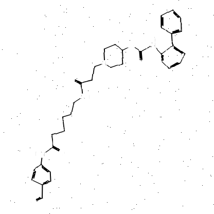 O=Cc1ccc(NC(=O)CCCCCNC(=O)CCN2CCC(OC(=O)Nc3ccccc3-c3ccccc3)CC2)cc1